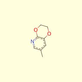 Cc1cnc2c(c1)OCCO2